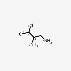 NCC(N)C(Cl)Cl